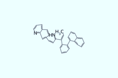 CC=C(C(=N)/C=C\c1ccc2cccnc2c1)c1ccccc1-c1cccc2ccccc12